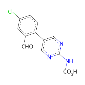 O=Cc1cc(Cl)ccc1-c1cnc(NC(=O)O)nc1